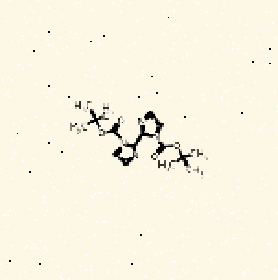 CC(C)(C)OC(=O)n1ccnc1-c1nccn1C(=O)OC(C)(C)C